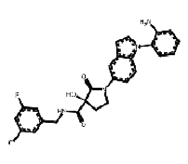 Nc1ccccc1-n1ccc2cc(N3CC[C@](O)(C(=O)NCc4cc(F)cc(Cl)c4)C3=O)ccc21